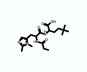 CCC(=O)NC(Cc1cnc(C)n1C)C(=O)NC(CCC(C)(C)C)C(=O)O